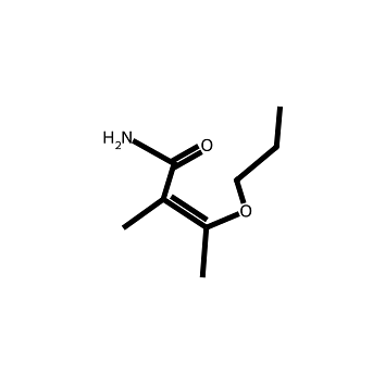 CCCOC(C)=C(C)C(N)=O